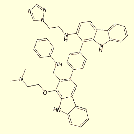 CN(C)CCOc1c(CNc2ccccc2)c(-c2ccc(-c3c(NCCn4cncn4)ccc4c3[nH]c3ccccc34)cc2)cc2c1[nH]c1ccccc12